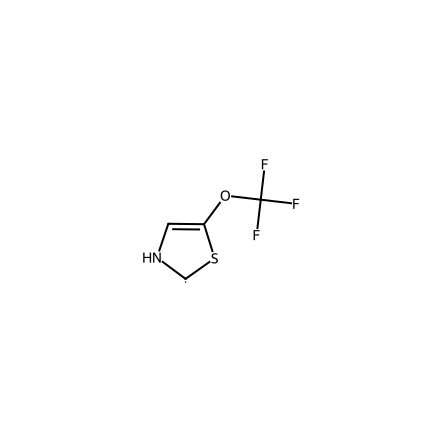 FC(F)(F)OC1=CN[CH]S1